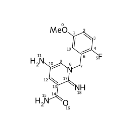 COc1ccc(F)c(Cn2cc(N)cc(C(N)=O)c2=N)c1